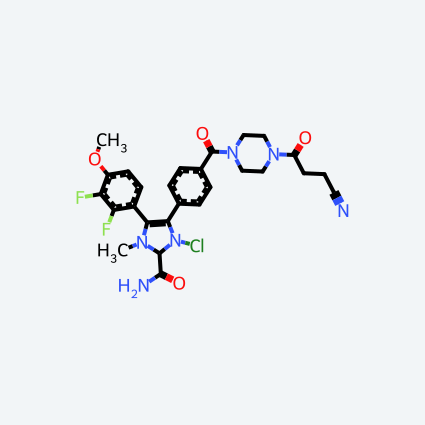 COc1ccc(C2=C(c3ccc(C(=O)N4CCN(C(=O)CCC#N)CC4)cc3)N(Cl)C(C(N)=O)N2C)c(F)c1F